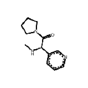 CN[C@@H](C(=O)N1CCCC1)c1cccnc1